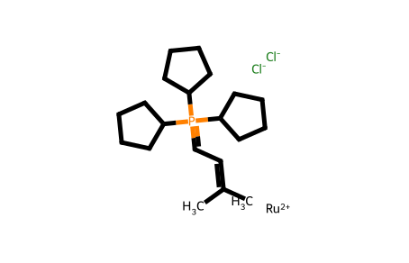 CC(C)=CC=P(C1CCCC1)(C1CCCC1)C1CCCC1.[Cl-].[Cl-].[Ru+2]